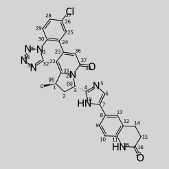 C[C@@H]1C[C@@H](c2ncc(-c3ccc4c(c3)CCC(=O)N4)[nH]2)n2c1cc(-c1cc(Cl)ccc1-n1cnnn1)cc2=O